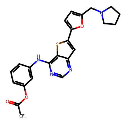 O=C(Oc1cccc(Nc2ncnc3cc(-c4ccc(CN5CCCC5)o4)sc23)c1)C(F)(F)F